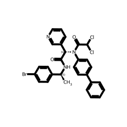 C[C@H](NC(=O)[C@H](c1cccnc1)N(C(=O)C(Cl)Cl)c1ccc(-c2ccccc2)cc1)c1ccc(Br)cc1